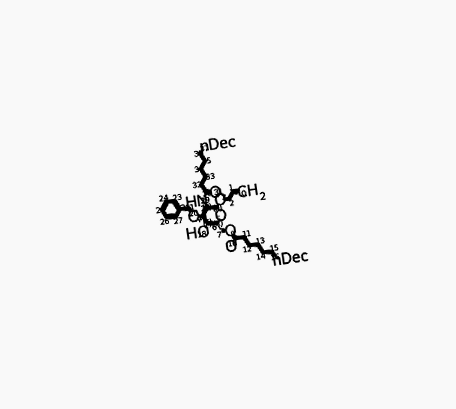 C=CCO[C@@H]1O[C@H](COC(=O)CCCCCCCCCCCCCCC)[C@@H](O)[C@H](OCc2ccccc2)[C@H]1NC(=O)CCCCCCCCCCCCCCC